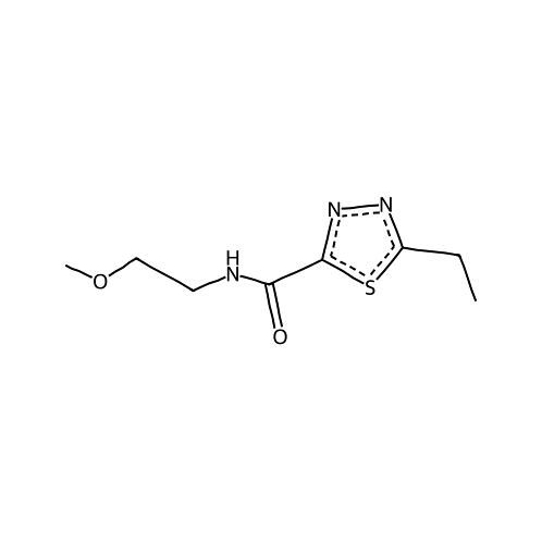 CCc1nnc(C(=O)NCCOC)s1